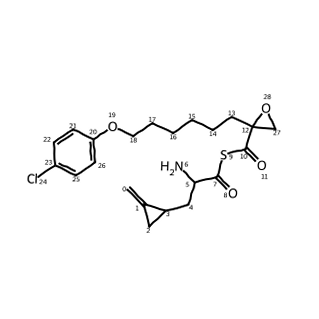 C=C1CC1CC(N)C(=O)SC(=O)C1(CCCCCCOc2ccc(Cl)cc2)CO1